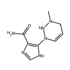 CN1CC=CN(c2[nH]cnc2C(N)=O)N1